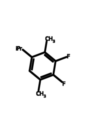 Cc1cc(C(C)C)c(C)c(F)c1F